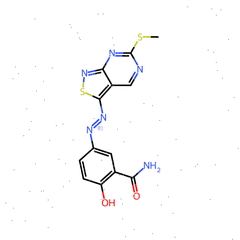 CSc1ncc2c(/N=N/c3ccc(O)c(C(N)=O)c3)snc2n1